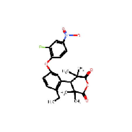 CCc1ccc(Oc2ccc([N+](=O)[O-])cc2F)cc1C1C(C)(C)C(=O)OC(=O)C1(C)C